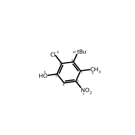 Cc1c([N+](=O)[O-])cc(O)c(Cl)c1C(C)(C)C